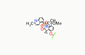 COC(C)(C)c1ccc(OC(F)F)c(C2(C(=O)NS(=O)(=O)c3cccc4nc(C)ccc34)CC2)c1